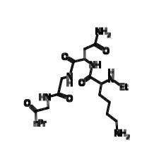 CCCC(=O)CNC(=O)CNC(=O)C(CC(N)=O)NC(=O)C(CCCCN)NCC